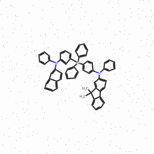 CC1(C)c2ccccc2-c2ccc(N(c3ccccc3)c3ccc([Si](c4ccccc4)(c4ccccc4)c4cccc(N(c5ccccc5)c5ccc6ccccc6c5)c4)cc3)cc21